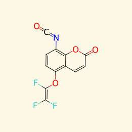 O=C=Nc1ccc(OC(F)=C(F)F)c2ccc(=O)oc12